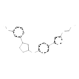 COCOc1cc(-c2ccc(OC3CCC(c4cccc(OC(F)(F)F)c4)C3)nc2)on1